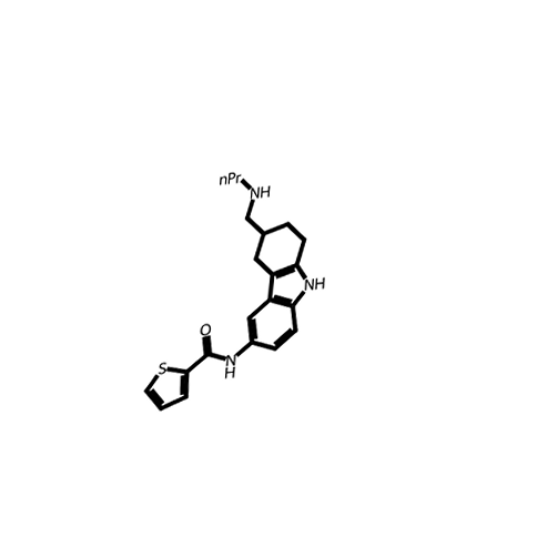 CCCNCC1CCc2[nH]c3ccc(NC(=O)c4cccs4)cc3c2C1